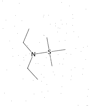 CCN(CC)S(C)(C)C